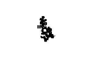 Cn1ncc([N+](=O)[O-])c1N1CC[C@H](NC(=O)OC(C)(C)C)CC2(CO2)C1